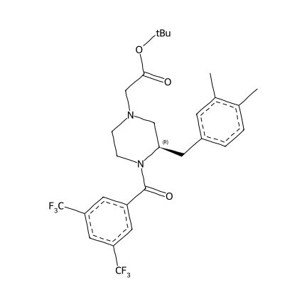 Cc1ccc(C[C@@H]2CN(CC(=O)OC(C)(C)C)CCN2C(=O)c2cc(C(F)(F)F)cc(C(F)(F)F)c2)cc1C